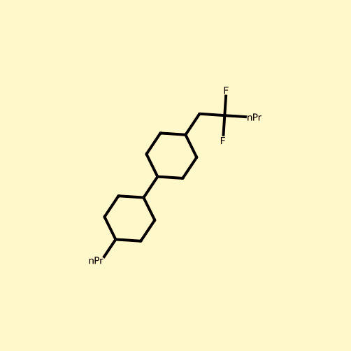 CCCC1CCC(C2CCC(CC(F)(F)CCC)CC2)CC1